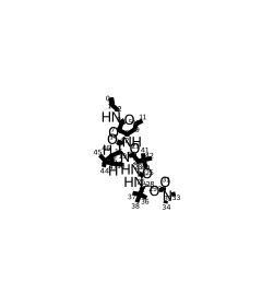 C=CCNC(=O)C(=O)C(CCC)NC(=O)[C@@H]1[C@@H]2[C@H](CN1C(=O)[C@@H](NC(=O)N[C@H](COC(=O)N(C)C)C(C)(C)C)C(C)(C)C)C2(C)C